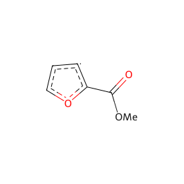 COC(=O)c1[c]cco1